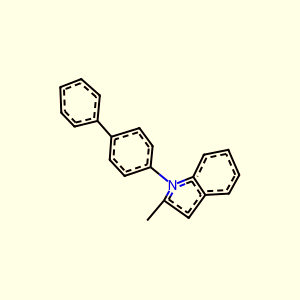 Cc1cc2ccccc2n1-c1ccc(-c2ccccc2)cc1